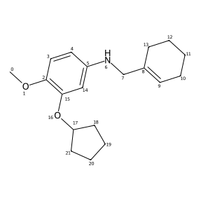 COc1ccc(NCC2=CCCCC2)cc1OC1CCCC1